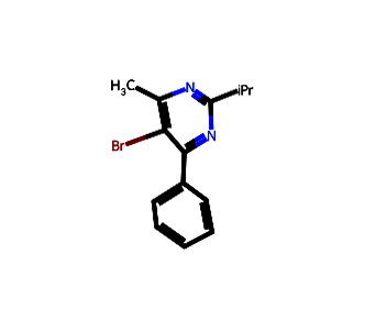 Cc1nc(C(C)C)nc(-c2ccccc2)c1Br